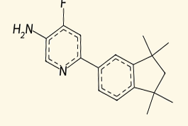 CC1(C)CC(C)(C)c2cc(-c3cc(F)c(N)cn3)ccc21